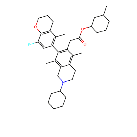 Cc1c(-c2c(C)c3c(c(C)c2CC(=O)OC2CCCC(C)C2)CCN(C2CCCCC2)C3)cc(F)c2c1CCCO2